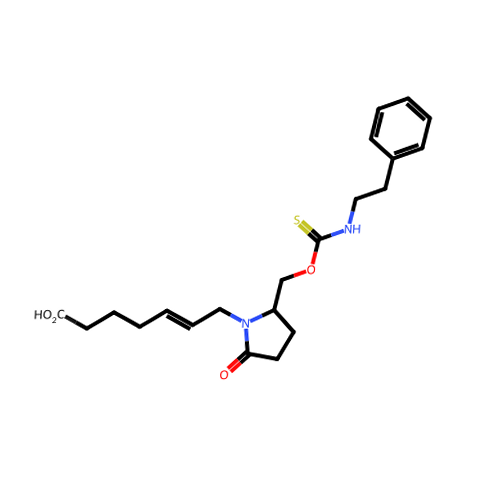 O=C(O)CCCC=CCN1C(=O)CCC1COC(=S)NCCc1ccccc1